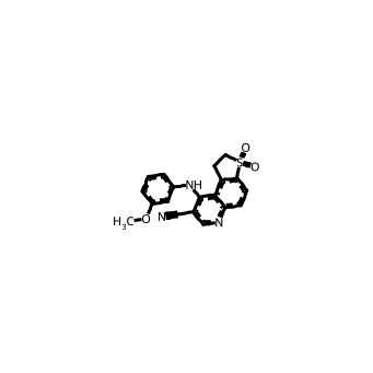 COc1cccc(Nc2c(C#N)cnc3ccc4c(c23)CCS4(=O)=O)c1